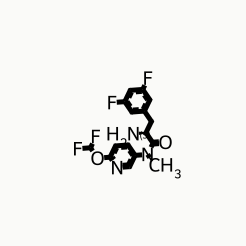 CN(C(=O)[C@@H](N)Cc1cc(F)cc(F)c1)c1ccc(OC(F)F)nc1